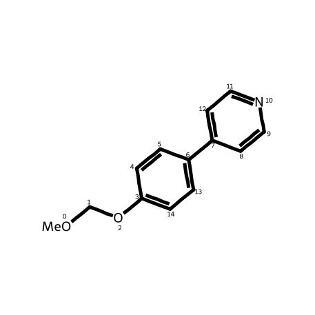 COCOc1ccc(-c2ccncc2)cc1